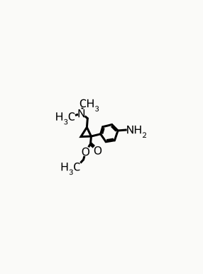 CCOC(=O)C1(c2ccc(N)cc2)CC1CN(C)C